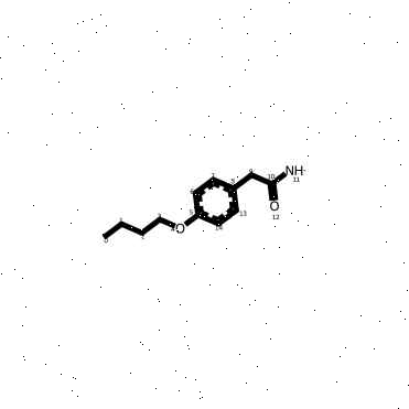 CCCCOc1ccc(CC([NH])=O)cc1